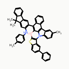 Cc1ccc(Nc2cc3c(cc2-c2c4c5c(c6ccccc26)c2cc(C)ccc2n5-c2c(sc5ccc(-c6ccccc6)cc25)B4)-c2ccccc2C3(C)C)cc1